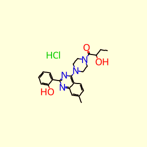 CCC(O)C(=O)N1CCN(c2nc(-c3ccccc3O)nc3cc(C)ccc23)CC1.Cl